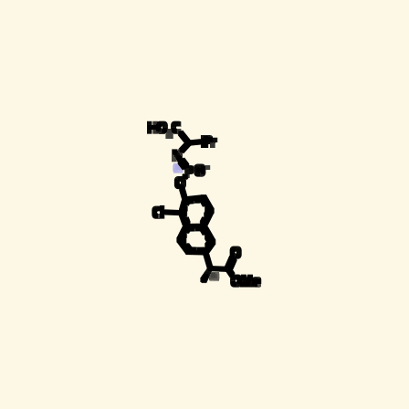 COC(=O)[C@@H](C)c1ccc2c(Cl)c(O/[P+]([O-])=N/C(C(=O)O)C(C)C)ccc2c1